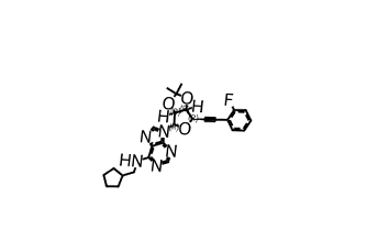 CC1(C)O[C@@H]2[C@H](O1)[C@@H](C#Cc1ccccc1F)O[C@H]2n1cnc2c(NCC3CCCC3)ncnc21